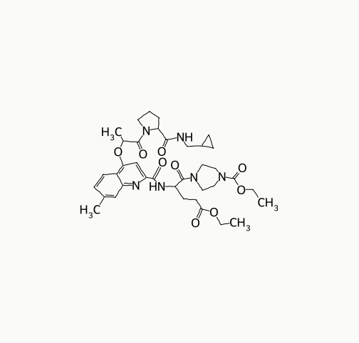 CCOC(=O)CCC(NC(=O)c1cc(OC(C)C(=O)N2CCCC2C(=O)NCC2CC2)c2ccc(C)cc2n1)C(=O)N1CCN(C(=O)OCC)CC1